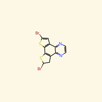 Brc1cc2c(s1)c1c(c3nccnc32)CC(Br)S1